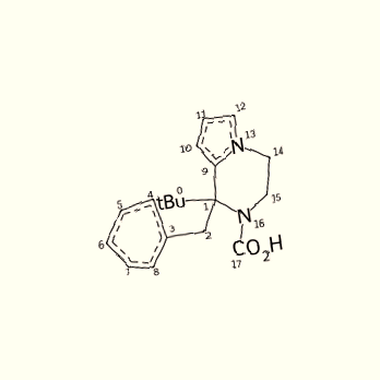 CC(C)(C)C1(Cc2ccccc2)c2cccn2CCN1C(=O)O